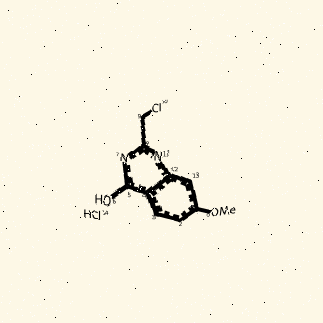 COc1ccc2c(O)nc(CCl)nc2c1.Cl